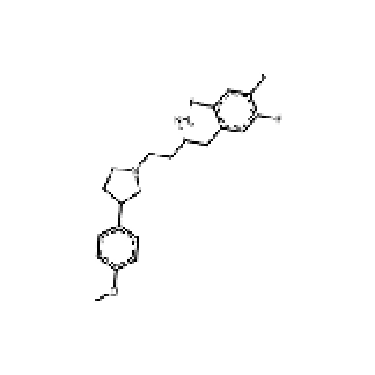 COc1ccc(C2CCN(CC[C@H](N)Cc3cc(F)c(F)cc3F)C2)cc1